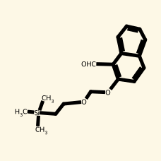 C[Si](C)(C)CCOCOc1ccc2ccccc2c1C=O